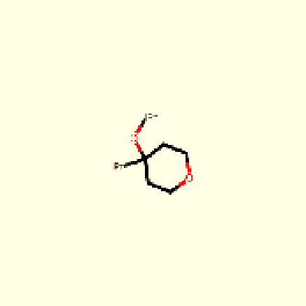 CC(C)OC1(C(C)C)CCOCC1